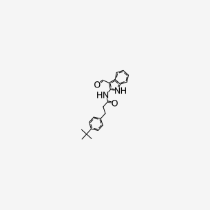 CC(C)(C)c1ccc(CCC(=O)Nc2[nH]c3ccccc3c2C=O)cc1